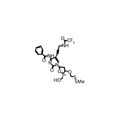 CSSCO[C@@H]1C[C@H](n2cc(C#CCNC(=O)C(F)(F)F)c(NC(=O)c3ccccc3)nc2=O)O[C@@H]1CO